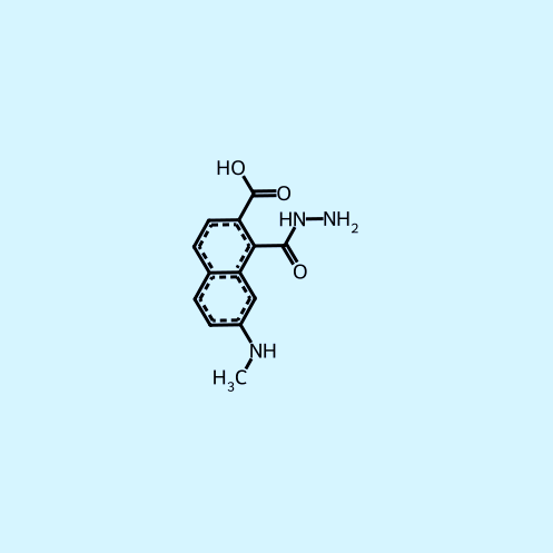 CNc1ccc2ccc(C(=O)O)c(C(=O)NN)c2c1